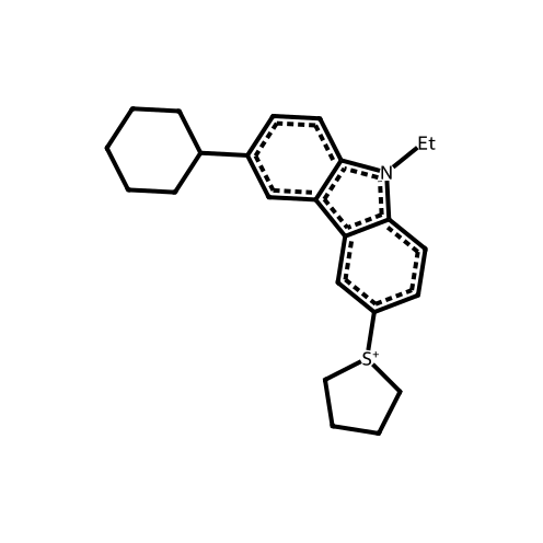 CCn1c2ccc(C3CCCCC3)cc2c2cc([S+]3CCCC3)ccc21